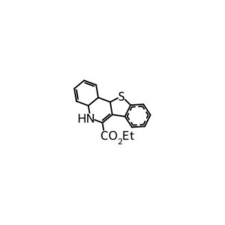 CCOC(=O)C1=C2c3ccccc3SC2C2C=CC=CC2N1